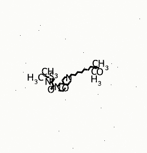 CC(C)c1nc(C(=O)N2CCOC3(CCN(CCCCCCCC(C)(C)C=O)CC3)C2)cs1